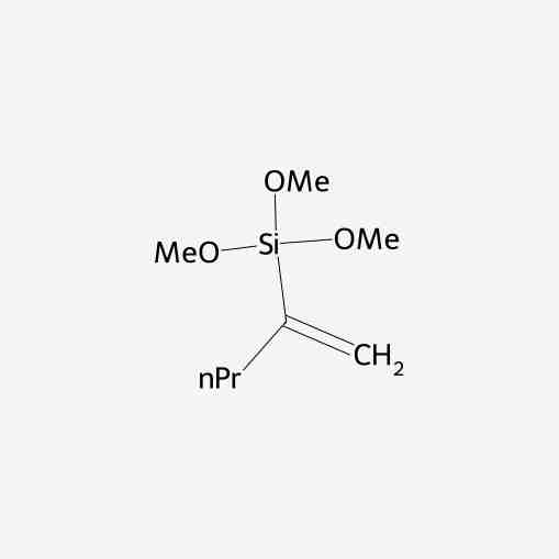 C=C(CCC)[Si](OC)(OC)OC